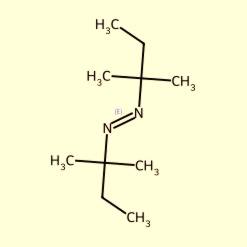 CCC(C)(C)/N=N/C(C)(C)CC